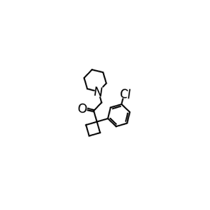 O=C(CN1CCCCC1)C1(c2cccc(Cl)c2)CCC1